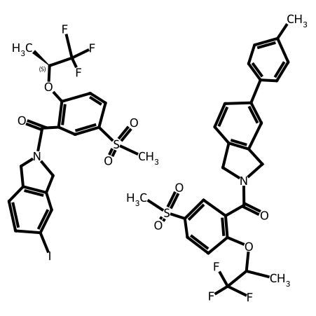 C[C@H](Oc1ccc(S(C)(=O)=O)cc1C(=O)N1Cc2ccc(I)cc2C1)C(F)(F)F.Cc1ccc(-c2ccc3c(c2)CN(C(=O)c2cc(S(C)(=O)=O)ccc2OC(C)C(F)(F)F)C3)cc1